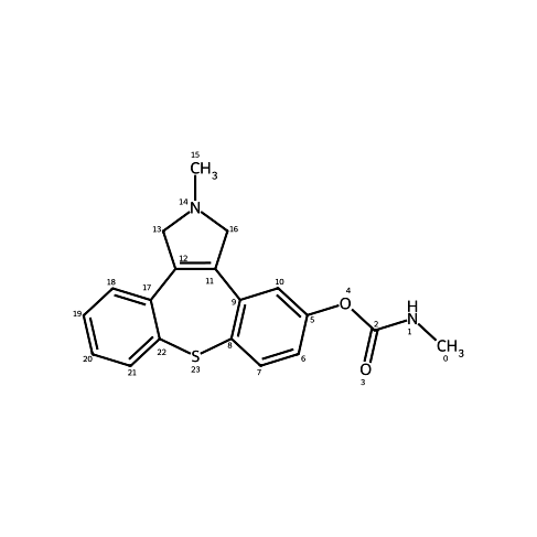 CNC(=O)Oc1ccc2c(c1)C1=C(CN(C)C1)c1ccccc1S2